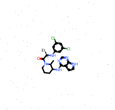 CC[C@@H](Nc1cc(Cl)cc(Cl)c1)C(=O)N1CCCC(Nc2ncnc3[nH]ccc23)C1C